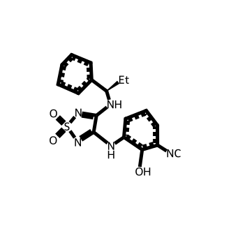 [C-]#[N+]c1cccc(NC2=NS(=O)(=O)N=C2N[C@H](CC)c2ccccc2)c1O